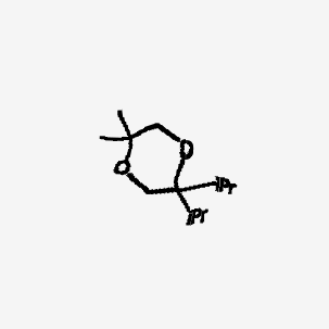 CC(C)C1(C(C)C)COC(C)(C)CO1